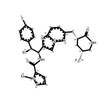 CC[C@@H](c1ccc(F)cc1)[C@H](NC(=O)c1ccnn1CC)c1cn2nc(C[C@H]3C[C@@H](C(F)(F)F)CNC3=O)ccc2n1